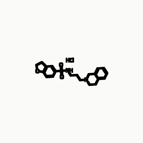 Cl.O=S(=O)(NCCCN1CCc2ccccc2C1)c1ccc2c(c1)CCO2